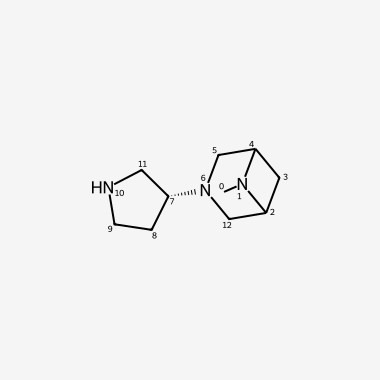 CN1C2CC1CN([C@@H]1CCNC1)C2